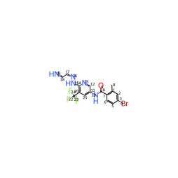 Cc1cc(Br)ccc1C(=O)Nc1cnc(N/N=C\C=N)c(C(F)(F)F)c1